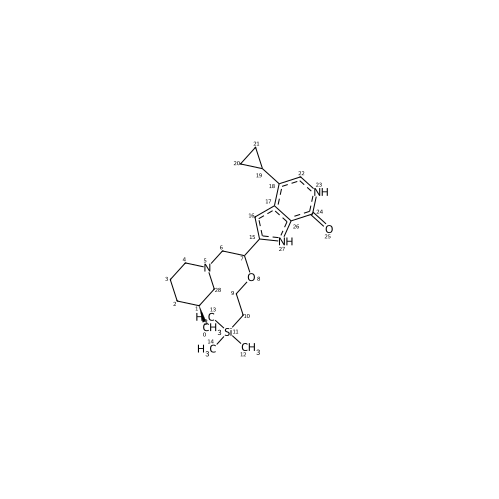 C[C@H]1CCCN(CC(OCC[Si](C)(C)C)c2cc3c(C4CC4)c[nH]c(=O)c3[nH]2)C1